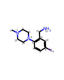 CN1CCN(c2ccc(I)cc2CN)CC1